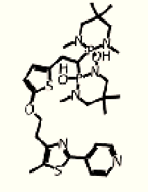 Cc1sc(-c2ccncc2)nc1CCOc1ccc(CC([P]2(O)N(C)CC(C)(C)CN2C)[P]2(O)N(C)CC(C)(C)CN2C)s1